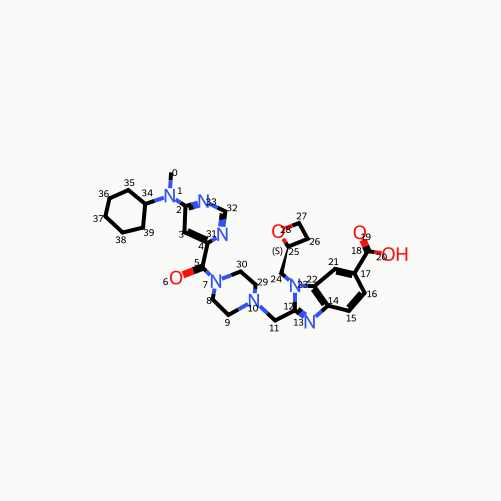 CN(c1cc(C(=O)N2CCN(Cc3nc4ccc(C(=O)O)cc4n3C[C@@H]3CCO3)CC2)ncn1)C1CCCCC1